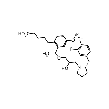 Cc1ccc(C[C@@H]2CCCN2C[C@@H](O)CO[C@H](C)c2cc(OC(C)C)ccc2CCCCC(=O)O)cc1F